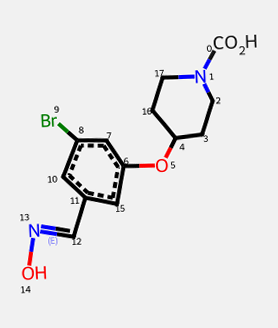 O=C(O)N1CCC(Oc2cc(Br)cc(/C=N/O)c2)CC1